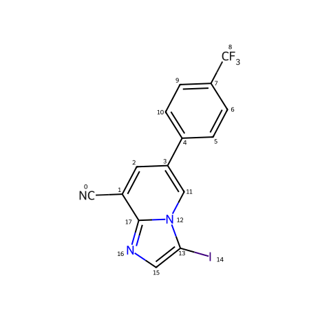 N#Cc1cc(-c2ccc(C(F)(F)F)cc2)cn2c(I)cnc12